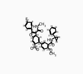 CNC(=O)c1c(-c2ccc(F)cc2)oc2cc([N+](=O)[O-])c(-c3ccc(OC)c(C(=O)NC4(c5ccccc5)CC4)c3)cc12